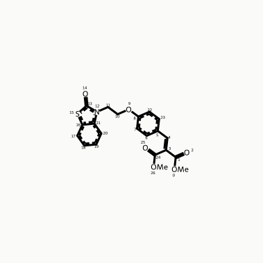 COC(=O)C(=Cc1ccc(OCCn2c(=O)sc3ccccc32)cc1)C(=O)OC